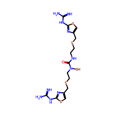 N=C(N)Nc1nc(CSCCNC(=O)N(S)CCSCc2csc(NC(=N)N)n2)cs1